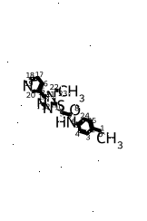 CCc1ccc(NC(=O)CSc2nnc(-c3cccnc3)n2CC)cc1